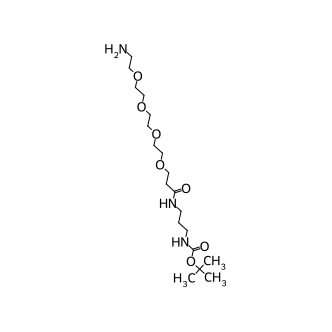 CC(C)(C)OC(=O)NCCCNC(=O)CCOCCOCCOCCOCCN